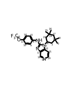 CC1(C)CC(n2c(Nc3ccc(OC(F)(F)F)cc3)nc3cnccc32)CC(C)(C)C1